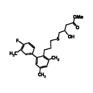 COC(=O)CC(O)CSCCCc1c(C)cc(C)cc1-c1ccc(F)c(C)c1